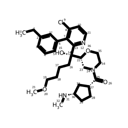 CCc1cccc(-c2c(Cl)ccnc2[C@](O)(CCCCOC)[C@H]2CN(C(=O)[C@@H]3CC[C@H](NC)C3)CCO2)c1